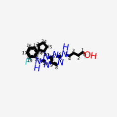 OCCCCNc1ncc2nc(Nc3ccccc3F)n(C3CCCC3)c2n1